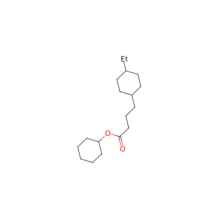 CCC1CCC(CCCC(=O)OC2CCCCC2)CC1